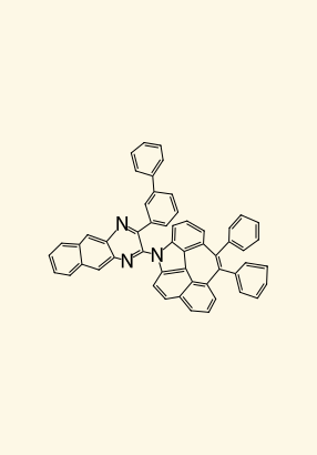 c1ccc(C2=C(c3ccccc3)c3cccc4c3c3c5c2cccc5ccc3n4-c2nc3cc4ccccc4cc3nc2-c2cccc(-c3ccccc3)c2)cc1